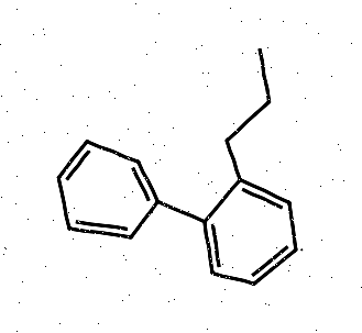 CCCc1c[c]ccc1-c1ccccc1